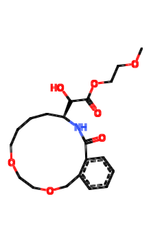 COCCOC(=O)C(O)[C@@H]1CCCCOCCOCc2ccccc2C(=O)N1